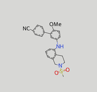 COc1ccc(Nc2cccc3c2CCN(S(C)(=O)=O)C3)cc1-c1ccc(C#N)cc1